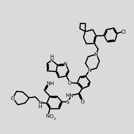 N=Cc1cc(SNC(=O)c2ccc(N3CCN(CC4=C(c5ccc(Cl)cc5)CC5(CCC5)CC4)CC3)cc2Oc2cnc3[nH]ccc3c2)cc([N+](=O)[O-])c1NCC1CCOCC1